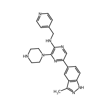 Cc1n[nH]c2ccc(-c3cnc(NCc4ccncc4)c(N4CCNCC4)n3)cc12